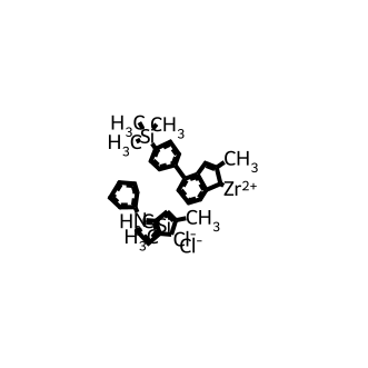 CC1=C2c3c(ccn3-c3ccccc3)C1[Si]2(C)C.CC1=Cc2c(-c3ccc([Si](C)(C)C)cc3)cccc2[CH]1[Zr+2].[Cl-].[Cl-]